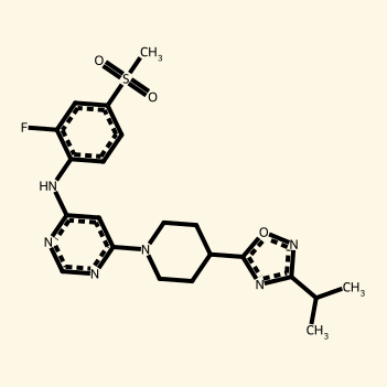 CC(C)c1noc(C2CCN(c3cc(Nc4ccc(S(C)(=O)=O)cc4F)ncn3)CC2)n1